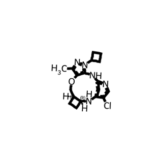 Cc1nn(C2CCC2)c2c1OC[C@@H]1CC[C@H]1Nc1cc(ncc1Cl)N2